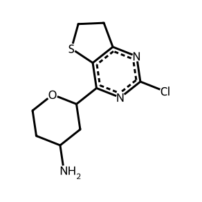 NC1CCOC(c2nc(Cl)nc3c2SCC3)C1